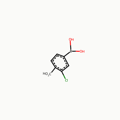 O=C(O)c1ccc(B(O)O)cc1Cl